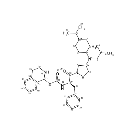 CC(C)CN(C1CCN(C(C)C)CC1)C1CCN(C(=O)[C@@H](Cc2ccccc2)NC(=O)CC2NCCc3ccccc32)C1